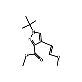 COC=Cc1cn(C(C)(C)C)nc1C(=O)OC